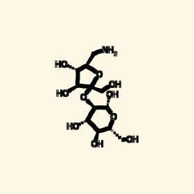 NC[C@H]1O[C@](CO)(O[C@@H]2[C@@H](O)[C@H](O)[C@@H](CO)O[C@H]2O)[C@@H](O)[C@@H]1O